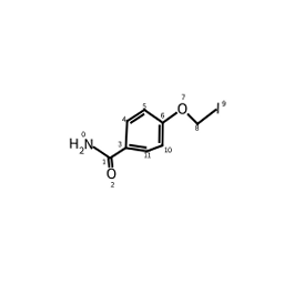 NC(=O)c1ccc(OCI)cc1